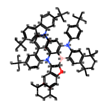 CC(C)(C)c1ccc(N2c3cc4c(cc3B3c5oc6cc7c(cc6c5N(c5ccc(C(C)(C)C)cc5-c5ccccc5)c5cc(-n6c8cc(C(C)(C)C)ccc8c8ccc(C(C)(C)C)cc86)cc2c53)C2(C)CCC7(C)CC2)C(C)(C)CCC4(C)C)cc1